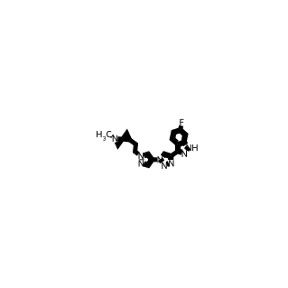 CN1CC12CC2CCn1cc(-n2cc(-c3n[nH]c4cc(F)ccc34)nn2)cn1